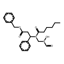 CCCCCC(=O)N(CN(O)C=O)C(CC(=O)OCc1ccccc1)c1ccccc1